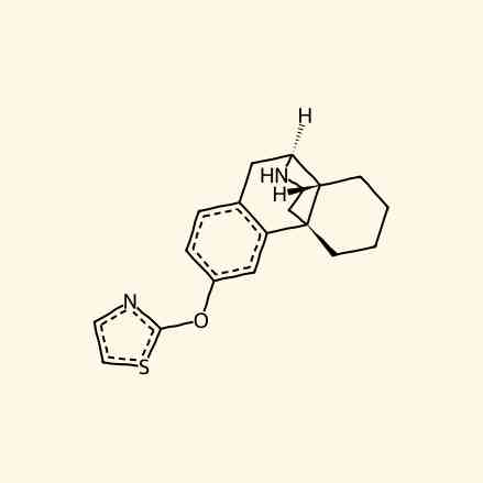 c1csc(Oc2ccc3c(c2)[C@@]24CCCC[C@H]2[C@H](C3)NCC4)n1